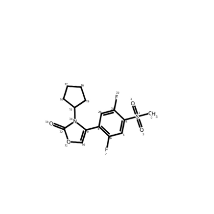 CS(=O)(=O)c1cc(F)c(-c2coc(=O)n2C2CCCC2)cc1F